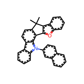 CC1(C)c2ccc3c4ccccc4n(-c4ccc5ccccc5c4)c3c2-c2oc3ccccc3c21